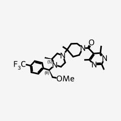 COC[C@@H](c1ccc(C(F)(F)F)cc1)N1CCN(C2(C)CCN(C(=O)c3c(C)nc(C)nc3C)CC2)C[C@@H]1C